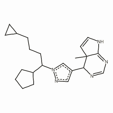 CC12C=CNC1=NC=NC2c1cnn(C(CCCC2CC2)C2CCCC2)c1